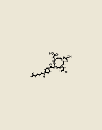 CC(C)CCCCNC1CCN(C(=O)CN2CCN(CC(=O)O)CCN(CC(=O)O)CCN(CC(=O)O)CC2)CC1